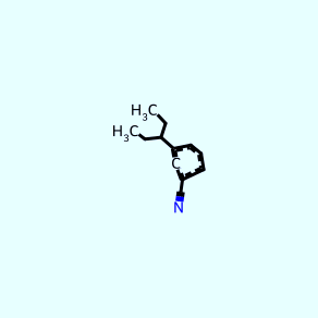 CCC(CC)c1cccc(C#N)c1